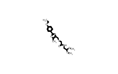 CCOc1ccc(-c2nc(CSCC(=O)NCC(OC)OC)c(C)o2)cc1